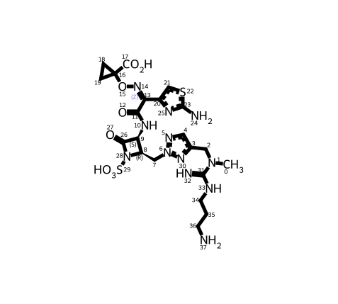 CN(Cc1cnn(C[C@@H]2[C@H](NC(=O)/C(=N\OC3(C(=O)O)CC3)c3csc(N)n3)C(=O)N2S(=O)(=O)O)n1)C(=N)NCCCN